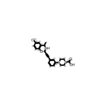 CC(NCC#Cc1cccc(N2CCN(C(=O)O)CC2)c1)c1cc(Cl)ccc1O